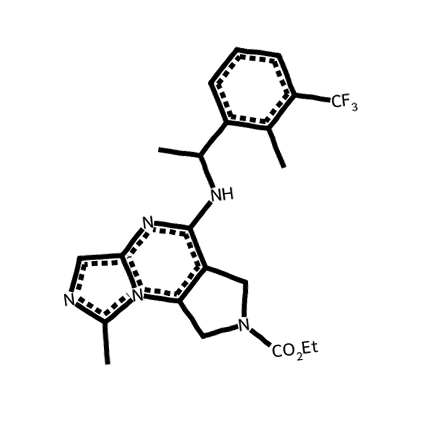 CCOC(=O)N1Cc2c(NC(C)c3cccc(C(F)(F)F)c3C)nc3cnc(C)n3c2C1